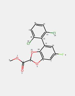 COC(=O)C1Oc2cc(F)cc(-c3c(Cl)cccc3Cl)c2O1